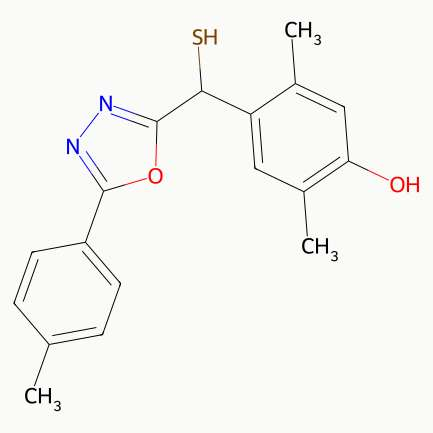 Cc1ccc(-c2nnc(C(S)c3cc(C)c(O)cc3C)o2)cc1